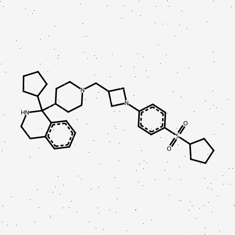 O=S(=O)(c1ccc(N2CC(CN3CCC(C4(C5CCCC5)NCCc5ccccc54)CC3)C2)cc1)C1CCCC1